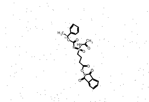 CC(=O)NS(=O)(CCCC(=O)ON1C(=O)c2ccccc2C1=O)=NC(=O)O[C@@H](C)c1ccccc1